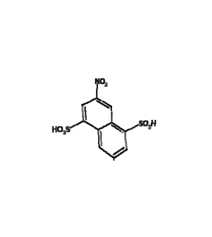 O=[N+]([O-])c1cc(S(=O)(=O)O)c2c[c]cc(S(=O)(=O)O)c2c1